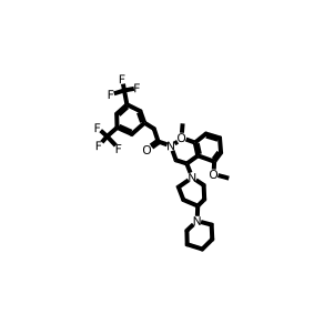 COc1cccc(OC)c1C(CN(C)C(=O)Cc1cc(C(F)(F)F)cc(C(F)(F)F)c1)N1CCC(N2CCCCC2)CC1